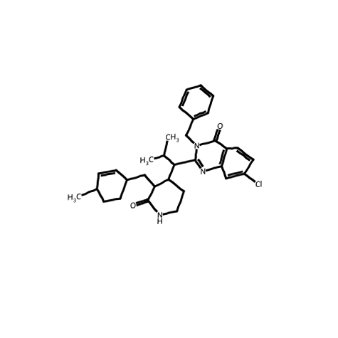 CC1C=CC(CC2C(=O)NCCC2C(c2nc3cc(Cl)ccc3c(=O)n2Cc2ccccc2)C(C)C)CC1